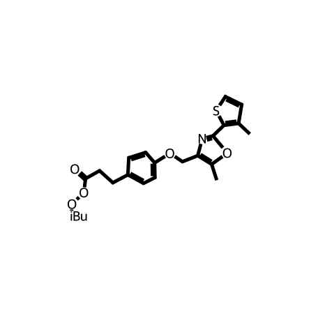 CCC(C)OOC(=O)CCc1ccc(OCc2nc(-c3sccc3C)oc2C)cc1